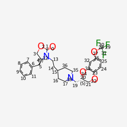 O=C1OC[C@H](Cc2ccccc2)N1CCC1CCN(C[C@H]2COc3ccc(OC(F)(F)F)cc3O2)CC1